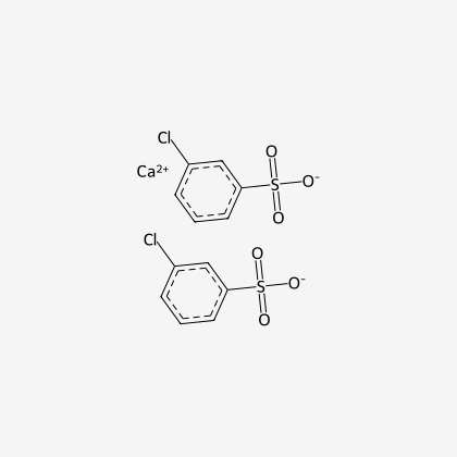 O=S(=O)([O-])c1cccc(Cl)c1.O=S(=O)([O-])c1cccc(Cl)c1.[Ca+2]